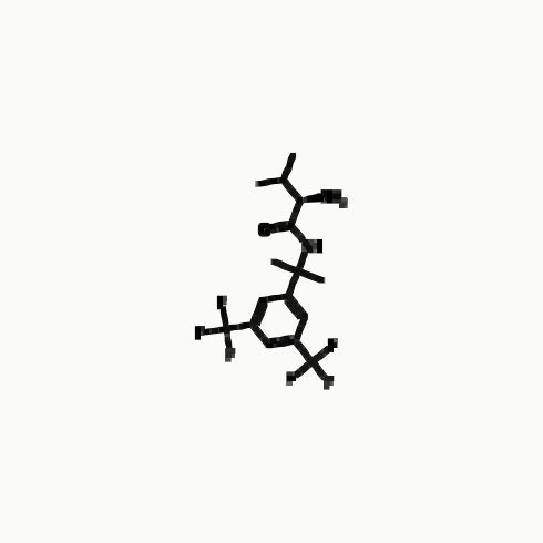 CC(C)[C@@H](N)C(=O)NC(C)(C)c1cc(C(F)(F)F)cc(C(F)(F)F)c1